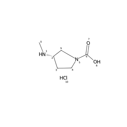 CN[C@H]1CCN(C(=O)O)C1.Cl